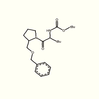 CCC(C)C(NC(=O)OC(C)(C)C)C(=O)N1CCCC1COCc1ccccc1